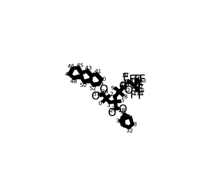 CC(C)(CC(C)(CC(C)(C)C(=O)OC(C(F)(F)F)(C(F)(F)F)C(F)(F)F)C(=O)OC1CC2CCC1C2)C(=O)Oc1ccc2cc3ccccc3cc2c1